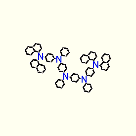 c1ccc(N(c2ccc(N(c3ccccc3)c3ccc(N(c4cccc5ccccc45)c4cccc5ccccc45)cc3)cc2)c2ccc(N(c3ccccc3)c3ccc(N(c4cccc5ccccc45)c4cccc5ccccc45)cc3)cc2)cc1